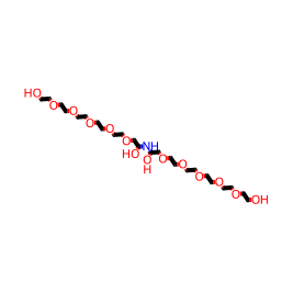 OCCOCCOCCOCCOCCOCC(O)NC(O)COCCOCCOCCOCCOCCO